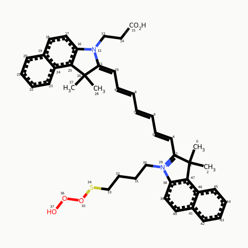 CC1(C)C(/C=C/C=C/C=C/C=C2/N(CCC(=O)O)c3ccc4ccccc4c3C2(C)C)=[N+](CCCCSOOO)c2ccc3ccccc3c21